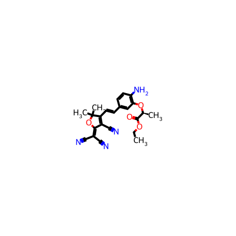 CCOC(=O)[C@H](C)Oc1cc(/C=C/C2=C(C#N)C(=C(C#N)C#N)OC2(C)C)ccc1N